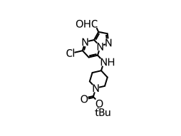 CC(C)(C)OC(=O)N1CCC(Nc2cc(Cl)nc3c(C=O)cnn23)CC1